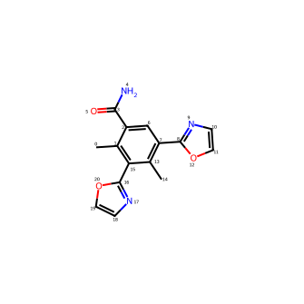 Cc1c(C(N)=O)cc(-c2ncco2)c(C)c1-c1ncco1